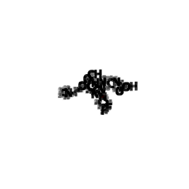 COc1cc2c(NC3CCN(CC(=O)O)CC3)nc(N3CCC(F)(F)CC3)nc2cc1OCCCN1CCCC1